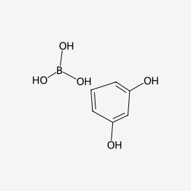 OB(O)O.Oc1cccc(O)c1